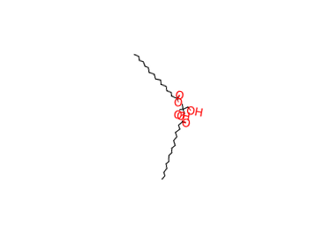 CCCCCCCCCCCCCCCC(=O)OCC(CO)(CO)COC(=O)CCCCCCCCCCCCCCC